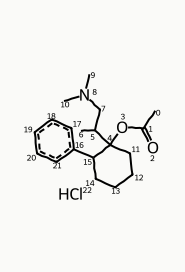 CC(=O)OC1(C(C)CN(C)C)CCCCC1c1ccccc1.Cl